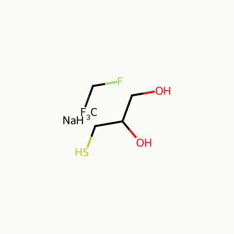 FCC(F)(F)F.OCC(O)CS.[NaH]